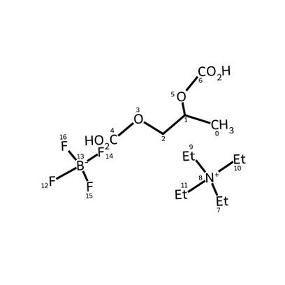 CC(COC(=O)O)OC(=O)O.CC[N+](CC)(CC)CC.F[B-](F)(F)F